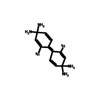 [2H]C1=CC(N)(N)C=CC1=C1C=CC(N)(N)C=C1[2H]